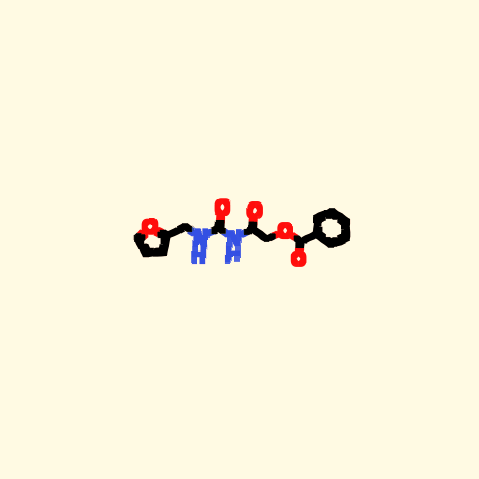 O=C(COC(=O)c1ccccc1)NC(=O)NCc1ccco1